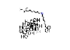 CC(O)CCO.CCC(O)CO.CCCCCCCC/C=C\CCCCCCCC(=O)O.CCO.OCC(O)CO.OCCCO